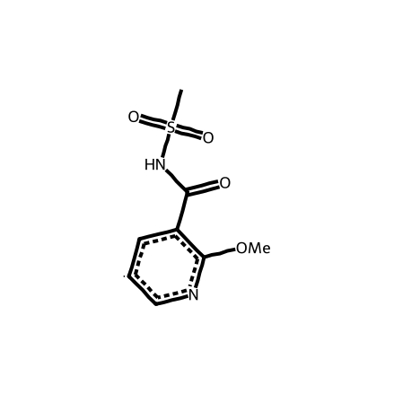 COc1nc[c]cc1C(=O)NS(C)(=O)=O